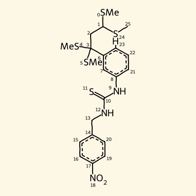 CSC1CC(SC)(SC)c2cc(NC(=S)NCc3ccc([N+](=O)[O-])cc3)ccc2[SH]1C